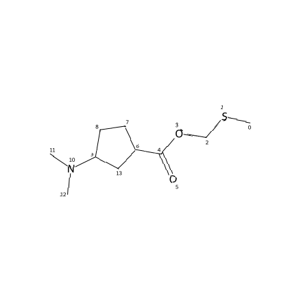 CSCOC(=O)C1CCC(N(C)C)C1